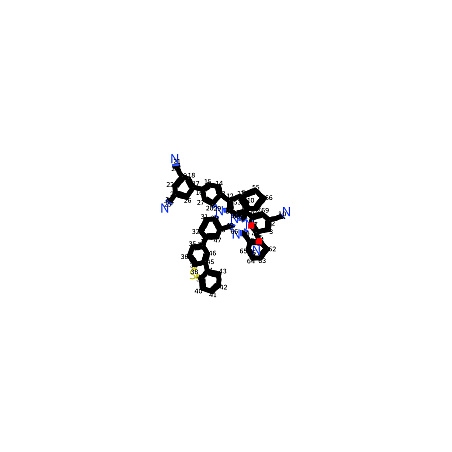 N#Cc1cc(C#N)cc(-c2ccc3c4ccc(-c5cc(C#N)cc(C#N)c5)cc4n(-c4ccc(-c5ccc6sc7ccccc7c6c5)cc4-c4nc(-c5ccccc5)nc(-c5ccccc5)n4)c3c2)c1